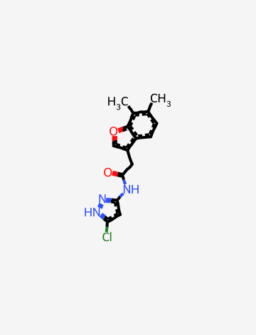 Cc1ccc2c(CC(=O)Nc3cc(Cl)[nH]n3)coc2c1C